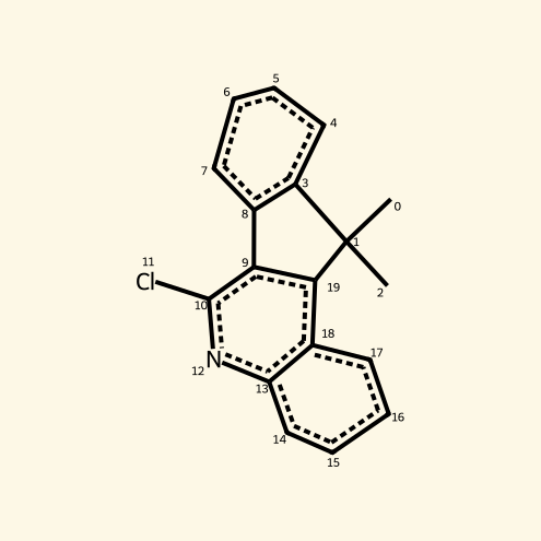 CC1(C)c2ccccc2-c2c(Cl)nc3ccccc3c21